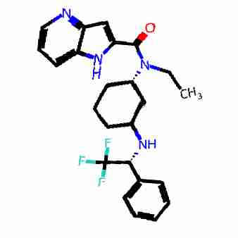 CCN(C(=O)c1cc2ncccc2[nH]1)[C@H]1CCCC(N[C@H](c2ccccc2)C(F)(F)F)C1